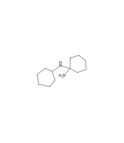 NC1(NC2CCCCC2)CCCCC1